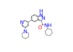 O=C(NC1CCCCC1)c1n[nH]c2ccc(-c3cncc(N4CCCCC4)c3)cc12